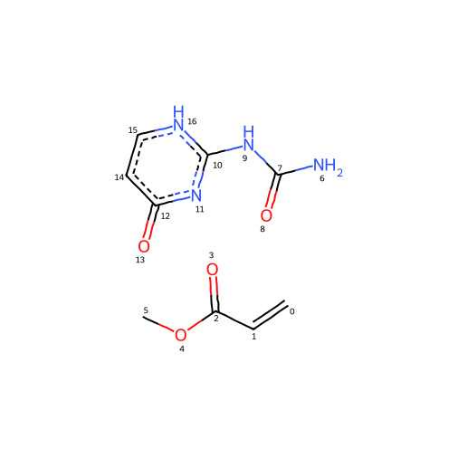 C=CC(=O)OC.NC(=O)Nc1nc(=O)cc[nH]1